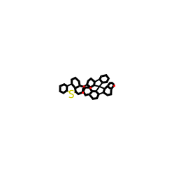 c1ccc2c(c1)Sc1ccc(-c3ccc4c(c3)C3(c5ccccc5-4)c4c(ccc5ccccc45)-c4ccc5ccccc5c43)c3cccc-2c13